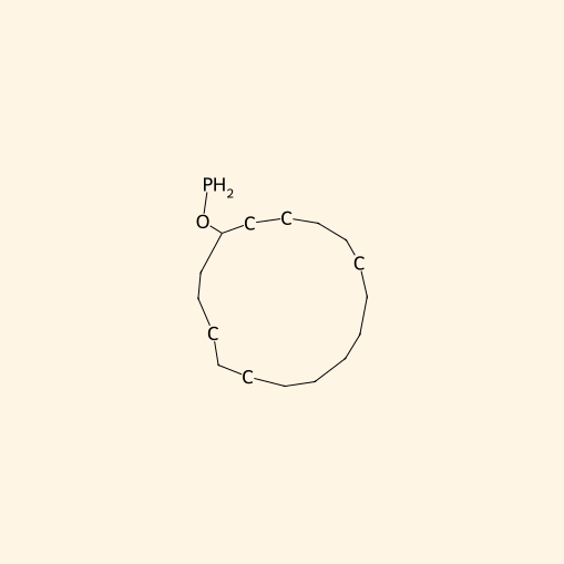 POC1CCCCCCCCCCCCCCC1